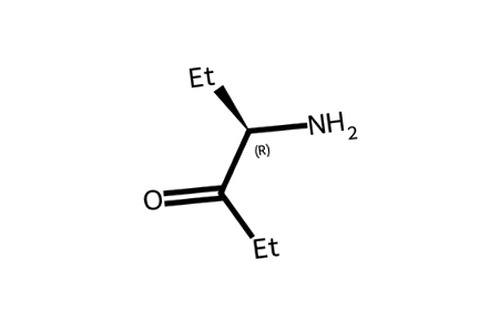 CCC(=O)[C@H](N)CC